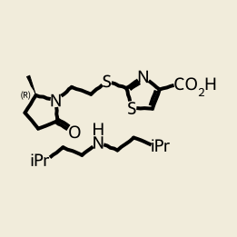 CC(C)CCNCCC(C)C.C[C@@H]1CCC(=O)N1CCSc1nc(C(=O)O)cs1